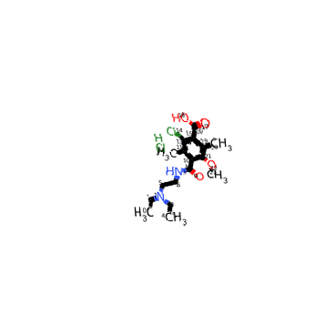 CCN(CC)CCNC(=O)c1c(C)c(Cl)c(C(=O)O)c(C)c1OC.Cl